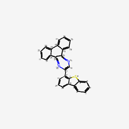 c1ccc2c(c1)sc1c(-c3cnc4c5ccccc5c5ccccc5c4n3)cccc12